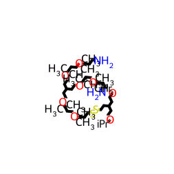 CC(C)OCCC(CCOC(C)C)CCSSCCC(C)(C)OCCC(C)(C)OCCC(CCOC(C)(C)CCOC(C)(C)CCN)CCOC(C)(C)CCOC(C)(C)CCN